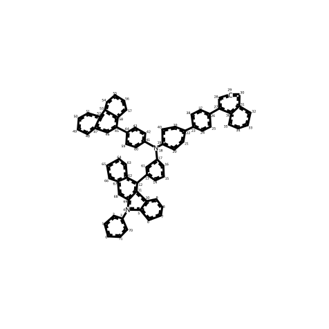 c1ccc(-n2c3ccccc3c3c(-c4cccc(N(c5ccc(-c6ccc(-c7cccc8ccccc78)cc6)cc5)c5ccc(-c6cc7ccccc7c7ccccc67)cc5)c4)c4ccccc4cc32)cc1